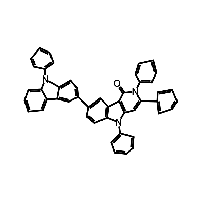 O=c1c2c3cc(-c4ccc5c(c4)c4ccccc4n5-c4ccccc4)ccc3n(-c3ccccc3)c2cc(-c2ccccc2)n1-c1ccccc1